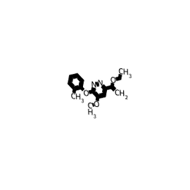 C=C(OCC)c1cc(OC)c(Oc2ccccc2C)nn1